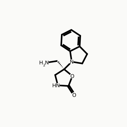 NC[C@@]1(N2CCc3ccccc32)CNC(=O)O1